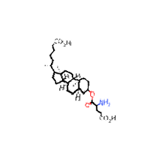 C[C@H](CCCCC(=O)O)C1CC[C@H]2[C@@H]3CC[C@@H]4C[C@H](OC(=O)[C@@H](N)CCC(=O)O)CC[C@]4(C)[C@H]3CC[C@]12C